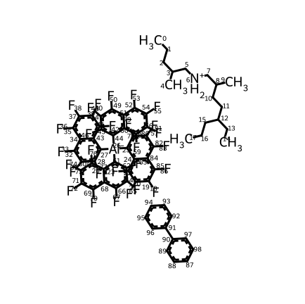 CCCC(C)C[NH2+]CC(C)CCC(CC)CCC.Fc1c(F)c(F)c2[c]([Al-]([c]3c(F)c(F)c(F)c4c(F)c(F)c(F)c(F)c34)([c]3c(F)c(F)c(F)c4c(F)c(F)c(F)c(F)c34)[c]3c(F)c(F)c(F)c4c(F)c(F)c(F)c(F)c34)c(F)c(F)c(F)c2c1F.c1ccc(-c2ccccc2)cc1